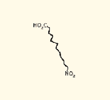 O=C(O)CCCCCCCCCCC[N+](=O)[O-]